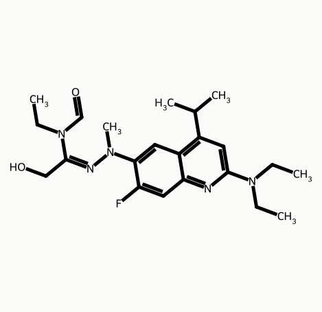 CCN(C=O)/C(CO)=N\N(C)c1cc2c(C(C)C)cc(N(CC)CC)nc2cc1F